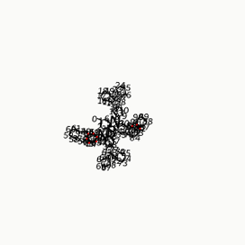 Cc1cc2c3c(c1)N(c1ccc4c(c1)C1c5ccccc5C15c1ccccc1C45)c1cc4c(cc1B3c1cc3c(cc1N2c1ccc2c(c1)C1c5ccccc5C2c2ccccc21)C1c2ccccc2C12c1ccccc1C32)C12C=CC=CC(=C1)C21c2ccccc2C41